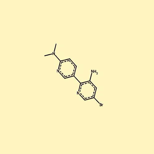 CN(C)c1ccc(-c2ncc(Br)cc2N)cn1